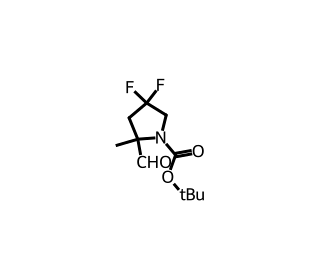 CC(C)(C)OC(=O)N1CC(F)(F)CC1(C)C=O